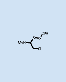 CNC(CCl)SSC(C)(C)C